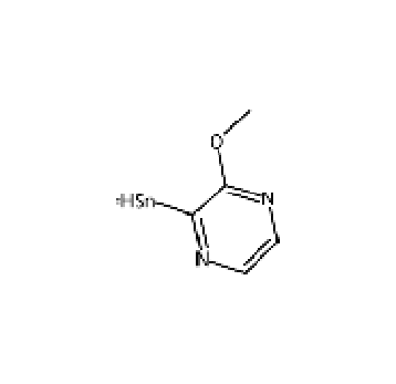 COc1nccn[c]1[SnH]